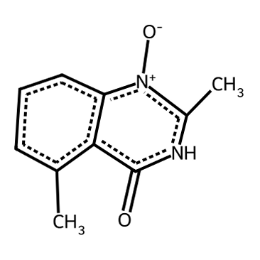 Cc1cccc2c1c(=O)[nH]c(C)[n+]2[O-]